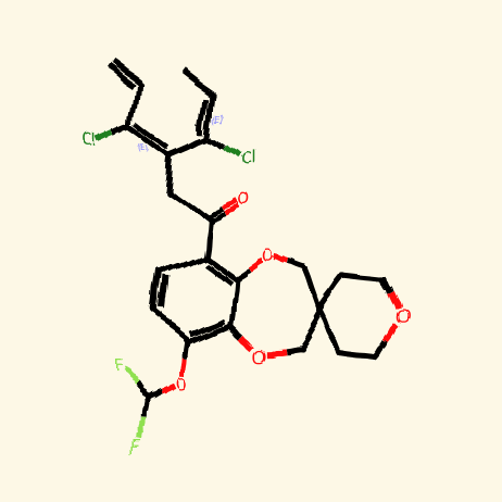 C=C/C(Cl)=C(CC(=O)c1ccc(OC(F)F)c2c1OCC1(CCOCC1)CO2)\C(Cl)=C/C